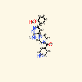 CNc1nnc(-c2ccccc2O)cc1N1CCN(C(=O)C2CCNCC2)CC1